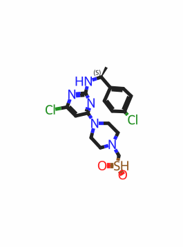 C[C@H](Nc1nc(Cl)cc(N2CCN(C[SH](=O)=O)CC2)n1)c1ccc(Cl)cc1